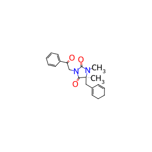 CN1C(=O)N(CC(=O)c2ccccc2)C(=O)[C@]1(C)CC1=CCCC=C1